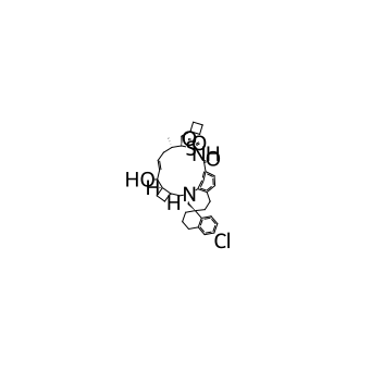 C[C@H]1C/C=C/[C@H](O)[C@@H]2CC[C@H]2CN2C[C@@]3(CCCc4cc(Cl)ccc43)CCc3ccc(cc32)C(=O)NS(=O)(=O)[C@@H]1CC1CCC1